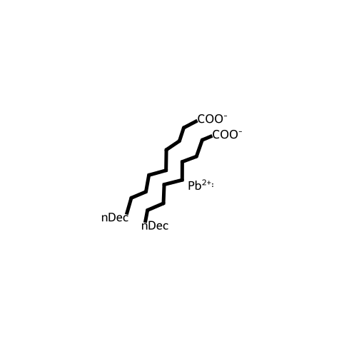 CCCCCCCCCCCCCCCCCC(=O)[O-].CCCCCCCCCCCCCCCCCC(=O)[O-].[Pb+2]